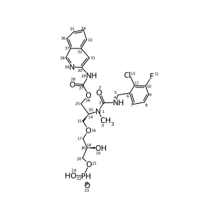 CN(C(=O)NCc1cccc(F)c1Cl)[C@@H](COC[C@@H](O)CO[PH](=O)O)COC(=O)Nc1cc2ccccc2cn1